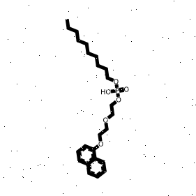 CCCCCCCCCCOP(=O)(O)OCCOCCOc1cccc2ccccc12